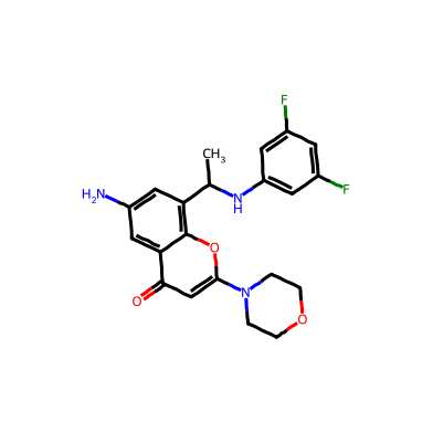 CC(Nc1cc(F)cc(F)c1)c1cc(N)cc2c(=O)cc(N3CCOCC3)oc12